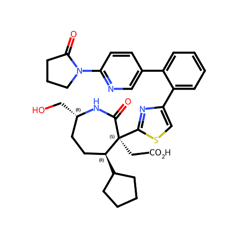 O=C(O)C[C@@]1(c2nc(-c3ccccc3-c3ccc(N4CCCC4=O)nc3)cs2)C(=O)N[C@@H](CO)CC[C@@H]1C1CCCC1